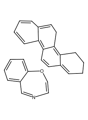 C1=COc2ccccc2C=N1.C1=c2ccc3c(c2CCC1)CC=c1ccccc1=3